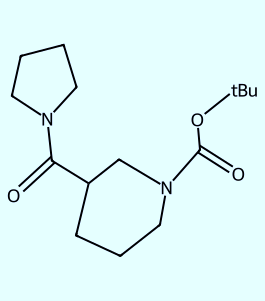 CC(C)(C)OC(=O)N1CCCC(C(=O)N2CCCC2)C1